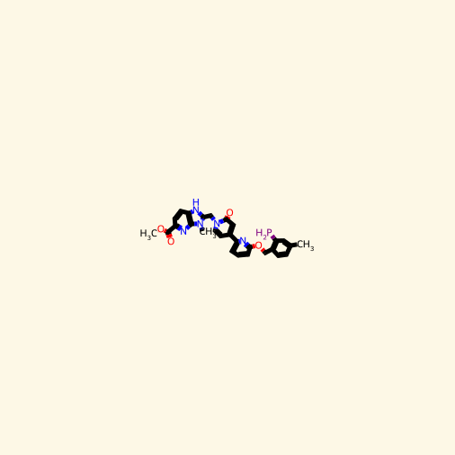 COC(=O)c1ccc2c(n1)N(C)C(Cn1ccc(-c3cccc(OCc4ccc(C)cc4P)n3)cc1=O)N2